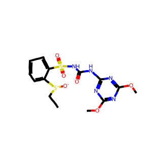 CC[S+]([O-])c1ccccc1S(=O)(=O)NC(=O)Nc1nc(OC)nc(OC)n1